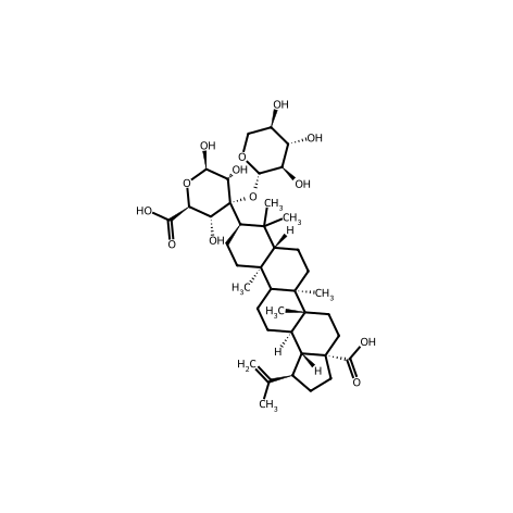 C=C(C)[C@@H]1CC[C@]2(C(=O)O)CC[C@]3(C)[C@H](CCC4[C@@]5(C)CC[C@@H]([C@@]6(O[C@@H]7OC[C@@H](O)[C@H](O)[C@H]7O)[C@H](O)[C@@H](C(=O)O)O[C@@H](O)[C@@H]6O)C(C)(C)[C@@H]5CC[C@]43C)[C@@H]12